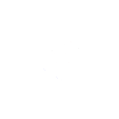 NC(N)=O.O=C1OCCO1.O=C=O